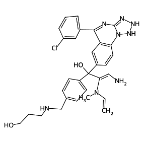 C=CN(C)/C(=C\N)C(O)(c1ccc(CNCCCO)cc1)c1ccc2c(c1)C(c1cccc(Cl)c1)=NC1=NNNN12